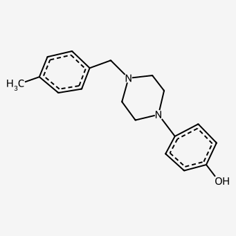 Cc1ccc(CN2CCN(c3ccc(O)cc3)CC2)cc1